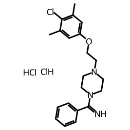 Cc1cc(OCCN2CCN(C(=N)c3ccccc3)CC2)cc(C)c1Cl.Cl.Cl